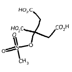 CS(=O)(=O)OC(CC(=O)O)(CC(=O)O)C(=O)O